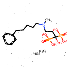 CN(CCCCCc1ccccc1)CCC(O)(P(=O)(O)O)P(=O)(O)O.[NaH].[NaH]